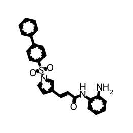 Nc1ccccc1NC(=O)/C=C/c1ccn(S(=O)(=O)c2ccc(-c3ccccc3)cc2)c1